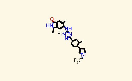 CCn1nc(-c2ccc(-c3ccn(CC(F)(F)F)c3)c(C)c2)nc1Nc1cc2c(cc1C)C(=O)NC2C